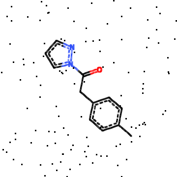 Cc1ccc(CC(=O)n2cccn2)cc1